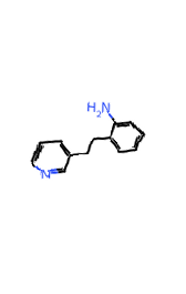 Nc1ccccc1CCc1cccnc1